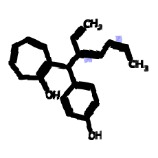 C=C/C(=C\C=C/C)C(C1=C(O)CC=CC=C1)c1ccc(O)cc1